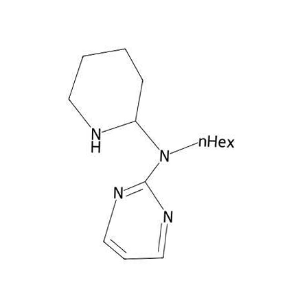 CCCCCCN(c1ncccn1)C1CCCCN1